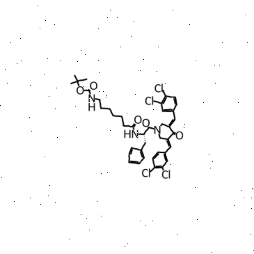 CC(C)(C)OC(=O)NCCCCCCC(=O)N[C@@H](Cc1ccccc1)C(=O)N1C/C(=C\c2ccc(Cl)c(Cl)c2)C(=O)/C(=C/c2ccc(Cl)c(Cl)c2)C1